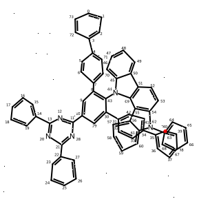 c1ccc(-c2ccc(-c3cc(-c4nc(-c5ccccc5)nc(-c5ccccc5)n4)cc(-c4ccc(-c5ccccc5)cc4)c3-n3c4ccccc4c4ccc5c(c6ccccc6n5-c5ccccc5)c43)cc2)cc1